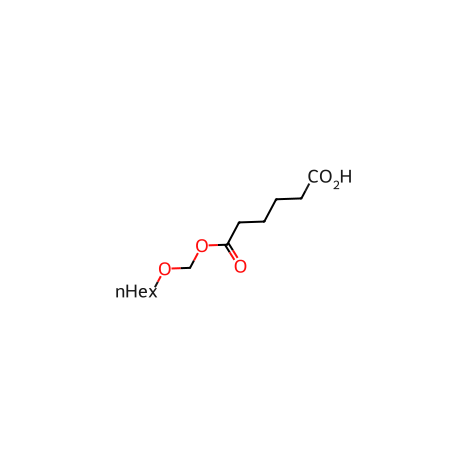 CCCCCCOCOC(=O)CCCCC(=O)O